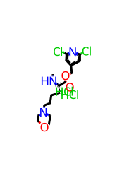 CN[C@@H](CCCCN1CCOCC1)C(=O)OCc1cc(Cl)nc(Cl)c1.Cl.Cl